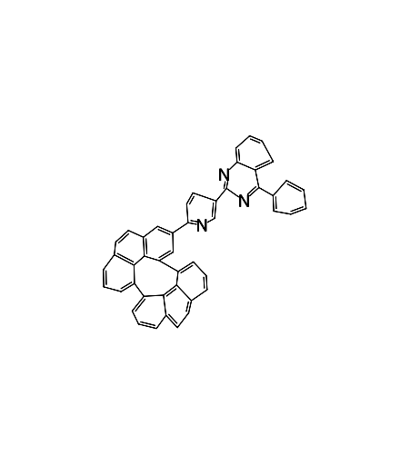 c1ccc(-c2nc(-c3ccc(-c4cc5ccc6cccc7c8cccc9ccc%10cccc(c(c4)c5c67)c%10c98)nc3)nc3ccccc23)cc1